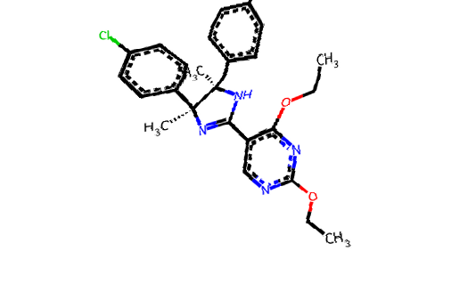 CCOc1ncc(C2=N[C@@](C)(c3ccc(Cl)cc3)[C@@](C)(c3ccc(Cl)cc3)N2)c(OCC)n1